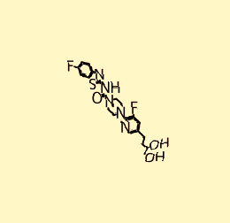 O=C(Nc1nc2ccc(F)cc2s1)N1CCN(c2ncc(CC[C@H](O)CO)cc2F)CC1